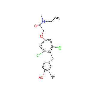 C=CCN(C)C(=O)COc1cc(Cl)c(Cc2ccc(O)c(C(C)C)c2)c(Cl)c1